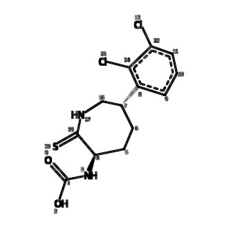 O=C(O)N[C@@H]1CC[C@@H](c2cccc(Cl)c2Cl)CNC1=S